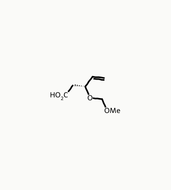 C=C[C@@H](CC(=O)O)OCOC